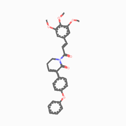 COc1cc(/C=C/C(=O)N2CCC=C(c3ccc(Oc4ccccc4)cc3)C2=O)cc(OC)c1OC